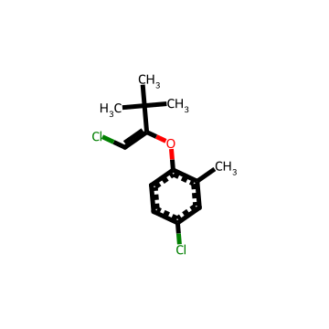 Cc1cc(Cl)ccc1OC(=CCl)C(C)(C)C